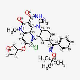 CN(c1c(C(N)=O)c(=O)n(C)c2cc(OC3CCOC3)c(Cl)nc12)C1CCC(C(=NOC(C)(C)C)c2ccccc2)CC1